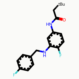 CC(C)(C)CC(=O)Nc1ccc(F)c(NCc2ccc(F)cc2)c1